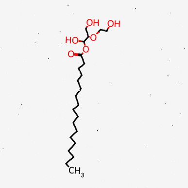 CCCCCCCCCCCCCCCCCC(=O)OC(O)C(CO)OCCO